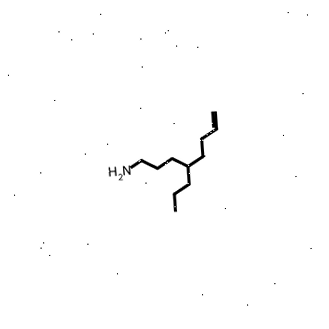 C=CCCC(CCC)CCCN